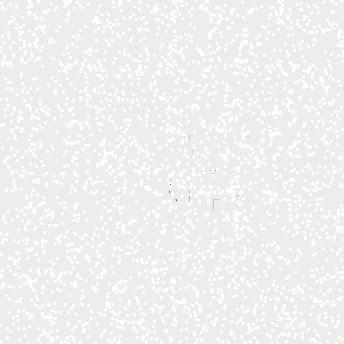 N[C@@H](Cc1ccccc1)[C@@H](O)C(CF)(CF)CF